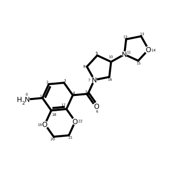 NC1=CCC(C(=O)N2CCC(N3CCOC3)C2)C2=C1OCCO2